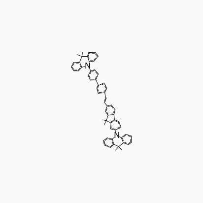 CC1(C)c2cc(/C=C/c3ccc(-c4ccc(N5c6ccccc6C(C)(C)c6ccccc65)cc4)cc3)ccc2-c2ccc(N3c4ccccc4C(C)(C)c4ccccc43)cc21